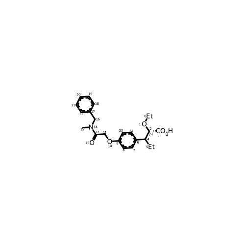 CCO[C@H](C(=O)O)C(CC)c1ccc(OCC(=O)N(C)Cc2ccccc2)cc1